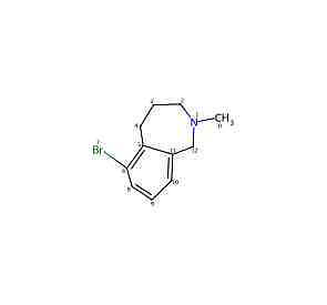 CN1CCCc2c(Br)cccc2C1